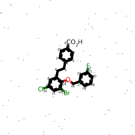 O=C(O)c1ccc(CCc2cc(Cl)cc(Br)c2OCc2cccc(F)c2)cc1